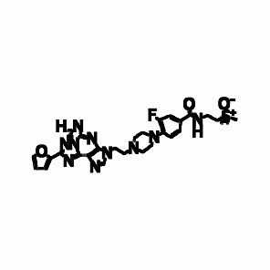 C[S@+]([O-])CCNC(=O)c1ccc(N2CCN(CCn3cnc4c3nc(N)n3nc(-c5ccco5)nc43)CC2)c(F)c1